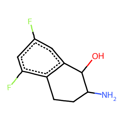 NC1CCc2c(F)cc(F)cc2C1O